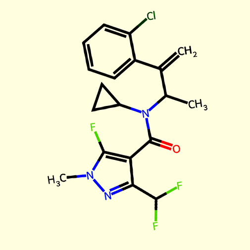 C=C(c1ccccc1Cl)C(C)N(C(=O)c1c(C(F)F)nn(C)c1F)C1CC1